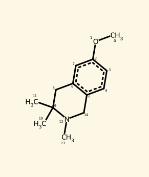 COc1ccc2c(c1)CC(C)(C)N(C)C2